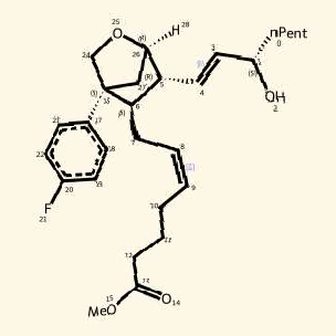 CCCCC[C@H](O)/C=C/[C@@H]1[C@@H](C/C=C\CCCC(=O)OC)[C@@]2(c3ccc(F)cc3)CO[C@@H]1C2